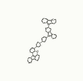 c1cc(-c2ccc(-c3ccc(-n4c5ccccc5c5cc(-n6c7ccccc7c7ccccc76)ccc54)cc3)cc2)c2c(c1)-n1c3ccccc3c3cccc(c31)O2